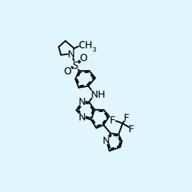 CC1CCCN1S(=O)(=O)c1ccc(Nc2ncnc3cc(-c4ncccc4C(F)(F)F)ccc23)cc1